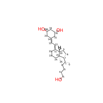 C[C@H](CCCCO)[C@H]1CC[C@H]2/C(=C/C=C3C[C@@H](O)C[C@H](O)C3)CCC[C@]12C